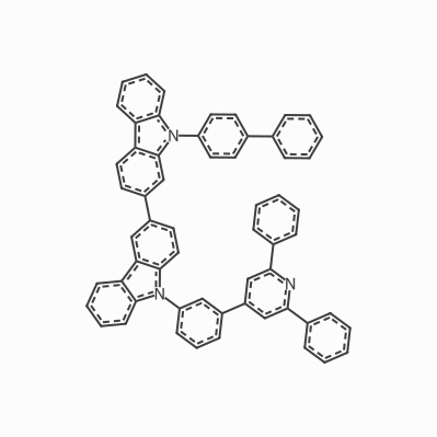 c1ccc(-c2ccc(-n3c4ccccc4c4ccc(-c5ccc6c(c5)c5ccccc5n6-c5cccc(-c6cc(-c7ccccc7)nc(-c7ccccc7)c6)c5)cc43)cc2)cc1